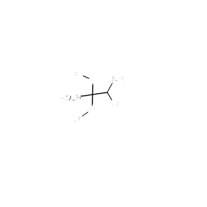 CCOC(OCC)(C(C)N)S(=O)(=O)O.[NaH]